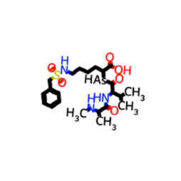 CNC(C)C(=O)NC(C(=O)[AsH]C(CCCCNS(=O)(=O)Cc1ccccc1)C(=O)O)C(C)C